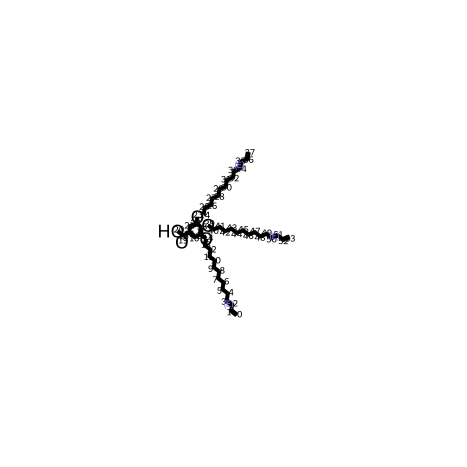 C=C/C=C/CCCCCCCCCCOc1cc(C(=O)O)cc(OCCCCCCCCCC/C=C/C=C)c1OCCCCCCCCCC/C=C/C=C